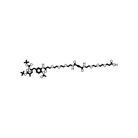 CC(=O)Oc1ccc(CC(CC(C)C(=O)OC(C)(C)C)NC(=O)OC(C)(C)C)cc1NC(=O)CCOCCOCCOCCNC(=O)C#CC(=O)NCCOCCOCCOCCC(=O)O